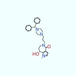 Cn1ccc2c1C(O)CCN(CCCN1CCN(C(c3ccccc3)c3ccccc3)CC1)C2=O